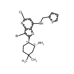 CC1(C)CC[C@@H](c2sc3c(NCc4cccs4)cc(Cl)nc3c2Br)[C@H](N)C1